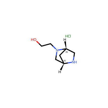 Cl.OCCN1C[C@@H]2C[C@H]1CN2